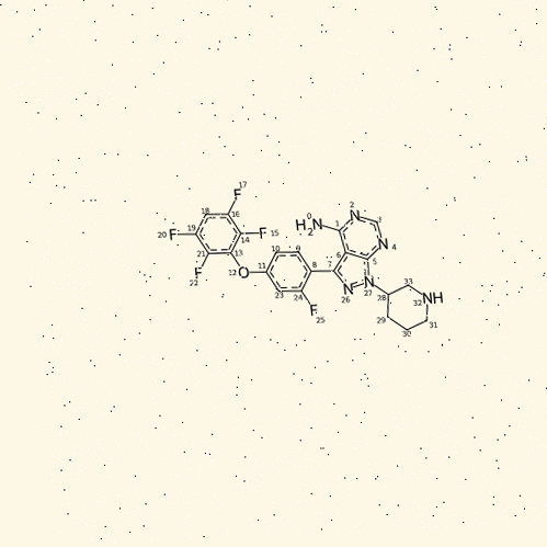 Nc1ncnc2c1c(-c1ccc(Oc3c(F)c(F)cc(F)c3F)cc1F)nn2C1CCCNC1